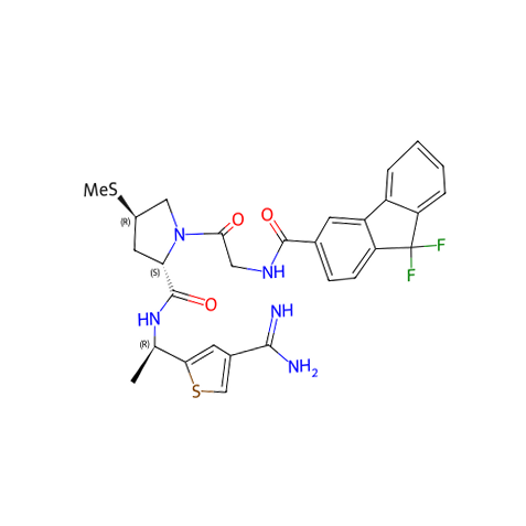 CS[C@@H]1C[C@@H](C(=O)N[C@H](C)c2cc(C(=N)N)cs2)N(C(=O)CNC(=O)c2ccc3c(c2)-c2ccccc2C3(F)F)C1